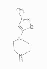 Cc1cc(N2CCNCC2)on1